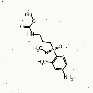 CN=S(=O)(CCCNC(=O)OC(C)(C)C)c1ccc(N)cc1C